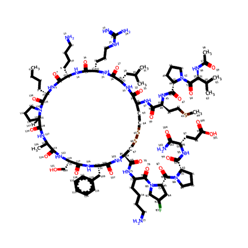 CCCC[C@@H]1NC(=O)[C@H](CCCCN)NC(=O)[C@H](CCCNC(=N)N)NC(=O)[C@H](CC(C)C)NC(=O)C(NC(=O)[C@H](CCSC)NC(=O)[C@@H]2CCCN2C(=O)[C@@H](NC(C)=O)C(C)C)CCSSC[C@@H](C(=O)NC(CCCCN)C(=O)N2CC(F)C[C@H]2C(=O)N2CCC[C@H]2C(=O)N[C@@H](CCC(=O)O)C(N)=O)NC(=O)[C@H](Cc2ccccc2)NC(=O)[C@H](CO)NC(=O)C(C)NC(=O)[C@@H]2CCCN2C1=O